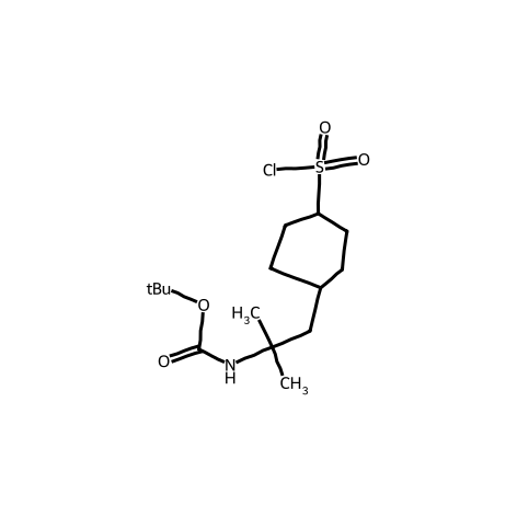 CC(C)(CC1CCC(S(=O)(=O)Cl)CC1)NC(=O)OC(C)(C)C